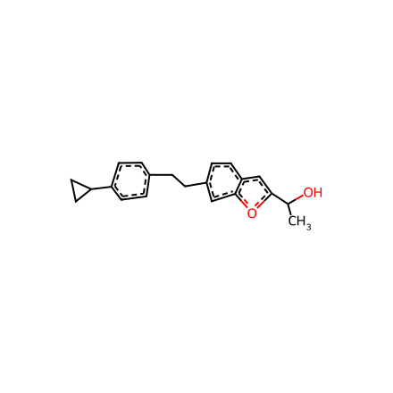 CC(O)c1cc2ccc(CCc3ccc(C4CC4)cc3)cc2o1